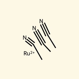 CC#N.CC#N.CC#N.[Ru+2]